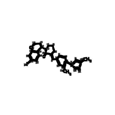 Cc1cn(-c2ccc(/C=C3\CCCN([C@@H]4CCOc5cc(F)ccc54)C3=O)cc2C)cn1